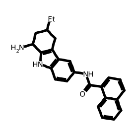 CCC1Cc2c([nH]c3ccc(NC(=O)c4cccc5ccccc45)cc23)C(N)C1